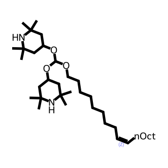 CCCCCCCC/C=C\CCCCCCCCOC(OC1CC(C)(C)NC(C)(C)C1)OC1CC(C)(C)NC(C)(C)C1